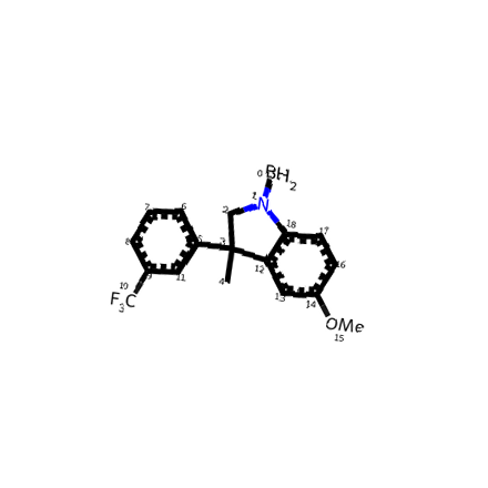 BN1CC(C)(c2cccc(C(F)(F)F)c2)c2cc(OC)ccc21